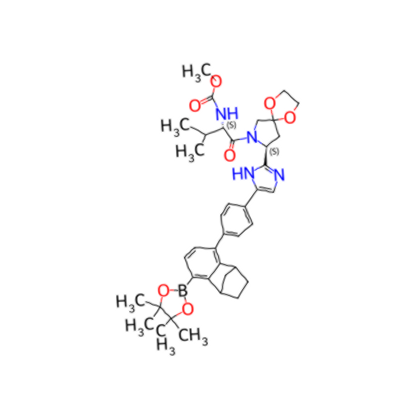 COC(=O)N[C@H](C(=O)N1CC2(C[C@H]1c1ncc(-c3ccc(-c4ccc(B5OC(C)(C)C(C)(C)O5)c5c4C4CCC5C4)cc3)[nH]1)OCCO2)C(C)C